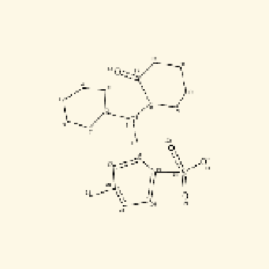 C[S+](C1CCCCC1)C1CCCCC1=O.Cc1ccc(S(=O)(=O)[O-])cc1